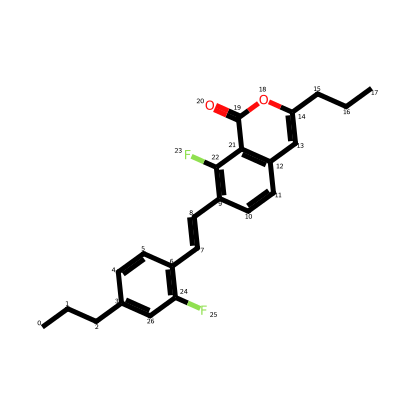 CCCc1ccc(/C=C/c2ccc3cc(CCC)oc(=O)c3c2F)c(F)c1